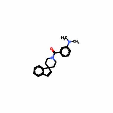 CN(C)c1cccc(C(=O)N2CCC3(C=Cc4ccccc43)CC2)c1